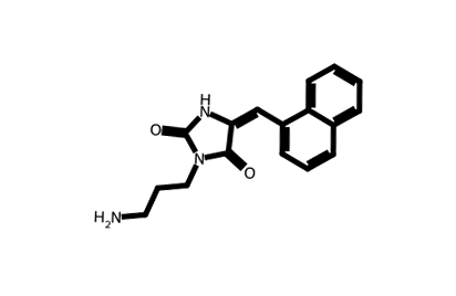 NCCCN1C(=O)N/C(=C/c2cccc3ccccc23)C1=O